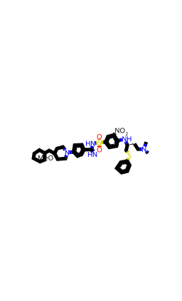 COC1(CC2CCCCC2)CCN(c2ccc(C(=N)NS(=O)(=O)c3ccc(N[C@H](CCN(C)C)CSc4ccccc4)c([N+](=O)[O-])c3)cc2)CC1